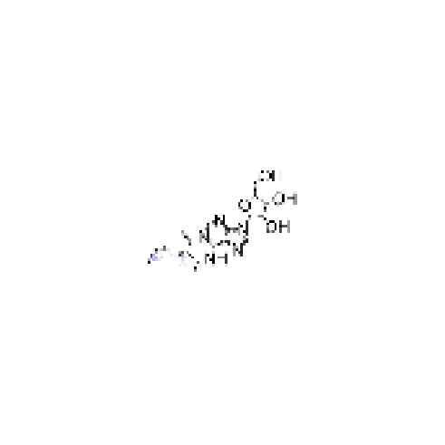 C=C/C(=C\C=C/C)C(C)Nc1ncnc2c1ncn2C1OC(CO)C(O)C1O